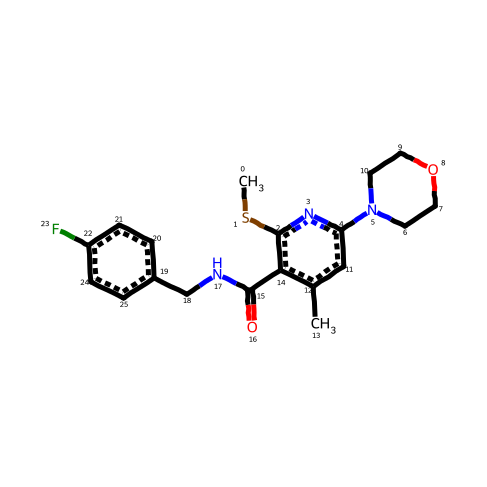 CSc1nc(N2CCOCC2)cc(C)c1C(=O)NCc1ccc(F)cc1